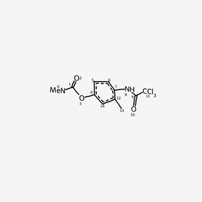 CNC(=O)Oc1ccc(NC(=O)C(Cl)(Cl)Cl)c(C)c1